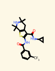 CC1(C)Cc2c(sc(NC(=O)c3cccc(C(F)(F)F)c3)c2C(=O)NC2CC2)C(C)(C)N1